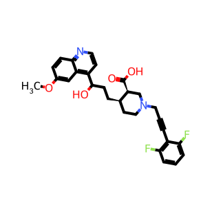 COc1ccc2nccc(C(O)CC[C@@H]3CCN(CC#Cc4c(F)cccc4F)C[C@@H]3C(=O)O)c2c1